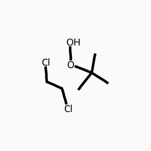 CC(C)(C)OO.ClCCCl